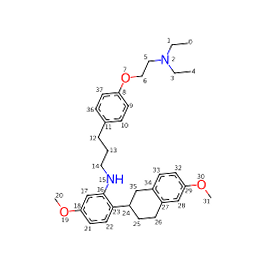 CCN(CC)CCOc1ccc(CCCNc2cc(OC)ccc2C2CCc3cc(OC)ccc3C2)cc1